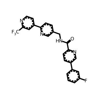 O=C(NCc1ccc(-c2ccnc(C(F)(F)F)c2)nc1)c1ccc(-c2cccc(F)c2)cn1